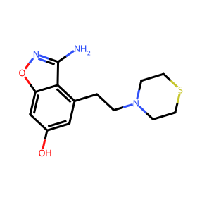 Nc1noc2cc(O)cc(CCN3CCSCC3)c12